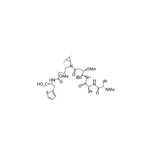 CC[C@H](C)[C@@H]([C@@H](CC(=O)N1C2C(C[C@H]1[C@H](OC)[C@@H](C)C(=O)N[C@@H](Cc1cccs1)C(=O)O)[C@@H]2C)OC)N(C)C(=O)[C@@H](NC(=O)[C@@H](NC)C(C)C)C(C)C